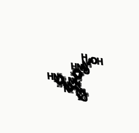 O=C(NCCO)Nc1ccc(-c2nc(N3CCOCC3)c3cnn(C4CCNCC4)c3n2)cc1